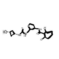 O=C(Nc1cc(NC(=O)c2c(Cl)cccc2Cl)ccn1)N[C@H]1C[C@@H](O)C1